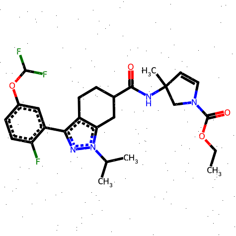 CCOC(=O)N1C=CC(C)(NC(=O)C2CCc3c(-c4cc(OC(F)F)ccc4F)nn(C(C)C)c3C2)C1